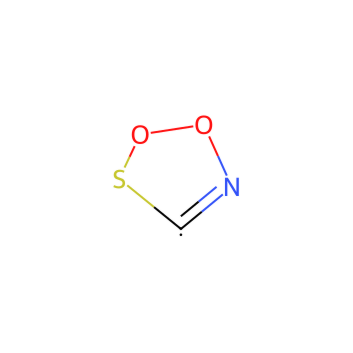 [C]1=NOOS1